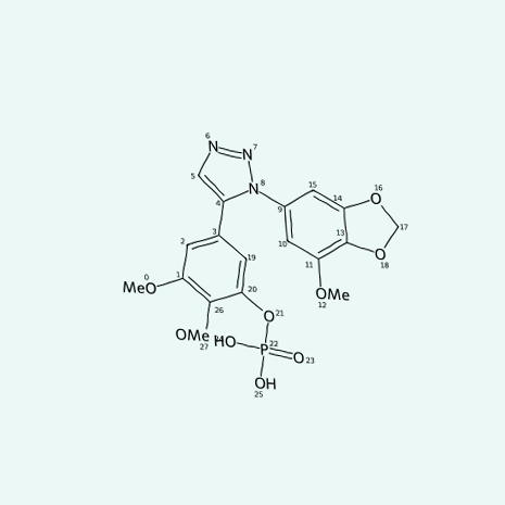 COc1cc(-c2cnnn2-c2cc(OC)c3c(c2)OCO3)cc(OP(=O)(O)O)c1OC